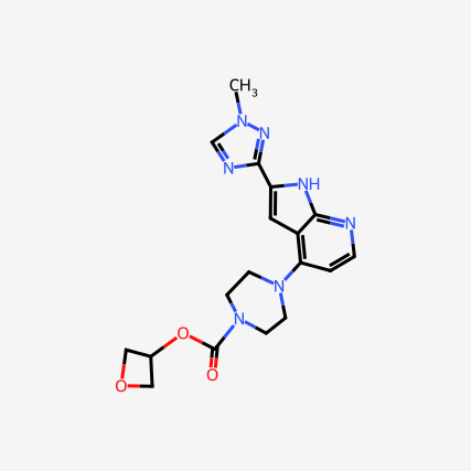 Cn1cnc(-c2cc3c(N4CCN(C(=O)OC5COC5)CC4)ccnc3[nH]2)n1